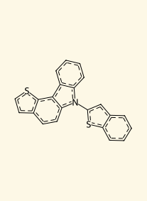 c1ccc2sc(-n3c4ccccc4c4c5sccc5ccc43)cc2c1